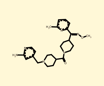 CON=C(c1cccc(C)n1)C1CCN(C(=O)C2CCN(Cc3ccnc(N)c3)CC2)CC1